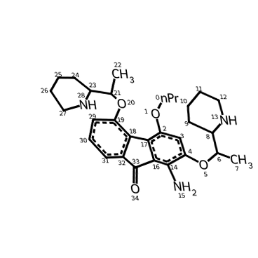 CCCOc1cc(OC(C)C2CCCCN2)c(N)c2c1-c1c(OC(C)C3CCCCN3)cccc1C2=O